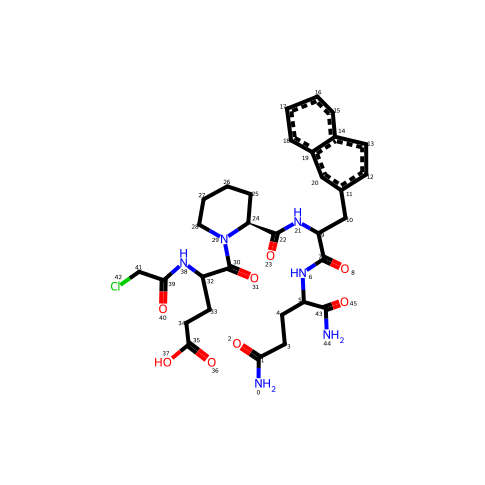 NC(=O)CCC(NC(=O)C(Cc1ccc2ccccc2c1)NC(=O)[C@@H]1CCCCN1C(=O)C(CCC(=O)O)NC(=O)CCl)C(N)=O